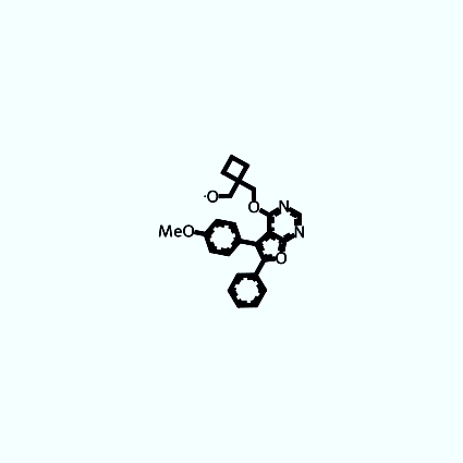 COc1ccc(-c2c(-c3ccccc3)oc3ncnc(OCC4(C[O])CCC4)c23)cc1